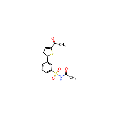 CC(=O)NS(=O)(=O)c1cccc(C2CC=C(C(C)=O)S2)c1